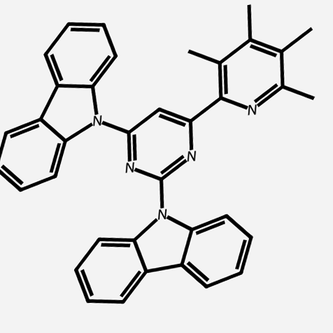 Cc1nc(-c2cc(-n3c4ccccc4c4ccccc43)nc(-n3c4ccccc4c4ccccc43)n2)c(C)c(C)c1C